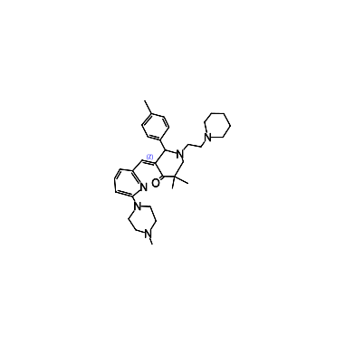 Cc1ccc(C2/C(=C/c3cccc(N4CCN(C)CC4)n3)C(=O)C(C)(C)CN2CCN2CCCCC2)cc1